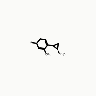 CC1=CC(F)CC=C1C1C[C@H]1C(=O)O